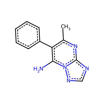 Cc1nc2ncnn2c(N)c1-c1ccccc1